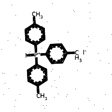 Cc1ccc([P+](I)(c2ccc(C)cc2)c2ccc(C)cc2)cc1.[I-]